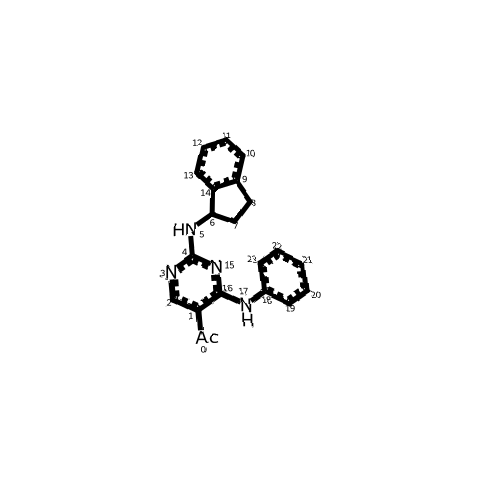 CC(=O)c1cnc(NC2CCc3ccccc32)nc1Nc1ccccc1